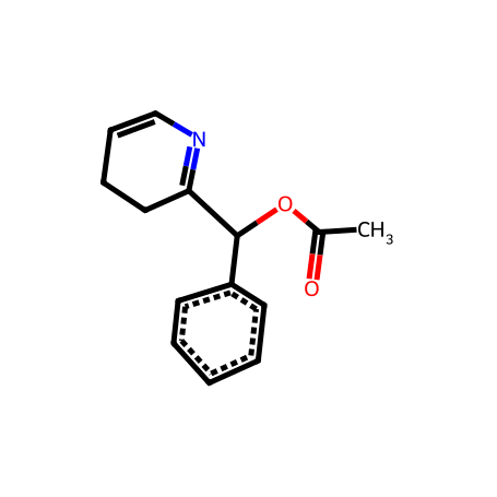 CC(=O)OC(C1=NC=CCC1)c1ccccc1